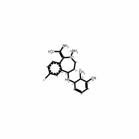 C/C(N)=C1\c2ccc(I)cc2C(NC2C=CC=C(C#N)C2C)CCN1N